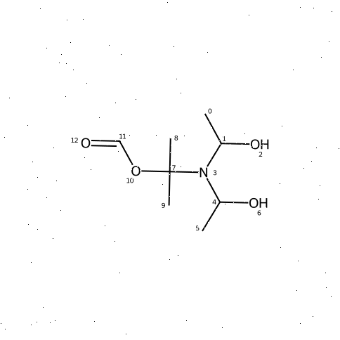 CC(O)N(C(C)O)C(C)(C)OC=O